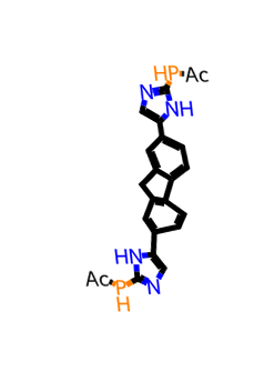 CC(=O)Pc1ncc(-c2ccc3c(c2)Cc2cc(-c4cnc(PC(C)=O)[nH]4)ccc2-3)[nH]1